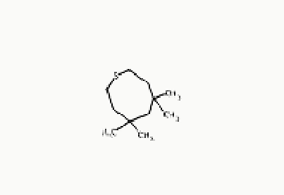 CC1(C)CCSCCC(C)(C)C1